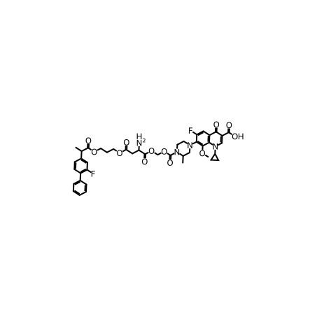 COc1c(N2CCN(C(=O)OCOC(=O)C(N)CC(=O)OCCCOC(=O)C(C)c3ccc(-c4ccccc4)c(F)c3)C(C)C2)c(F)cc2c(=O)c(C(=O)O)cn(C3CC3)c12